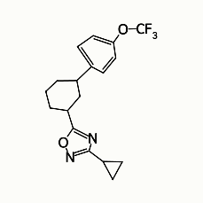 FC(F)(F)Oc1ccc(C2CCCC(c3nc(C4CC4)no3)C2)cc1